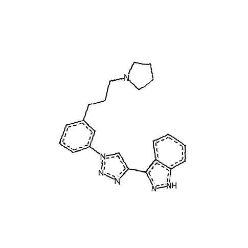 c1cc(CCCN2CCCC2)cc(-n2cc(-c3n[nH]c4ccccc34)nn2)c1